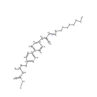 CCCCCCCCC/C=C/C(=O)Oc1cnc(-c2ccc(CCC(C)OC(=O)CC)cc2)nc1